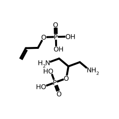 C=CCOP(=O)(O)O.NCC(CN)OP(=O)(O)O